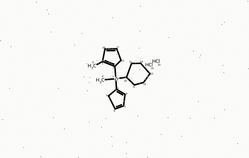 CC1=[C]([Zr]([CH3])([C]2=CC=CC2)[CH]2CCCCC2)CC=C1.Cl.Cl